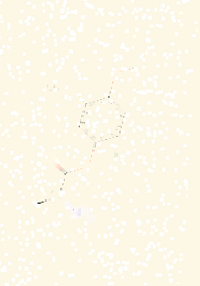 CCOc1ccc(OC(=O)[C@H](C)N)cc1OC.Cl